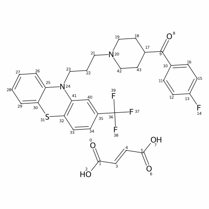 O=C(O)C=CC(=O)O.O=C(c1ccc(F)cc1)C1CCN(CCCN2c3ccccc3Sc3ccc(C(F)(F)F)cc32)CC1